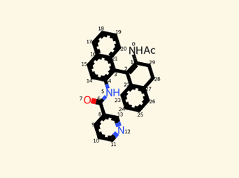 CC(=O)NC1=C(c2c(NC(=O)c3cccnc3)ccc3ccccc23)c2ccccc2CC1